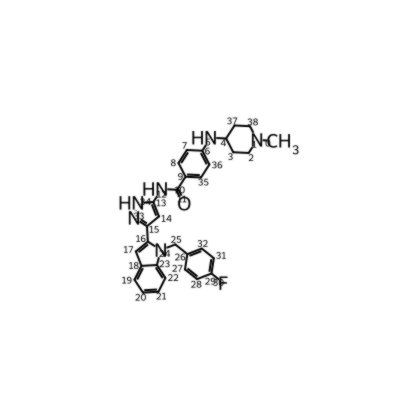 CN1CCC(Nc2ccc(C(=O)Nc3cc(-c4cc5ccccc5n4Cc4ccc(F)cc4)n[nH]3)cc2)CC1